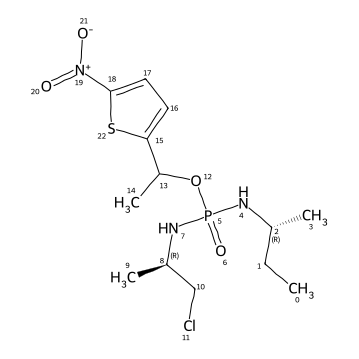 CC[C@@H](C)NP(=O)(N[C@H](C)CCl)OC(C)c1ccc([N+](=O)[O-])s1